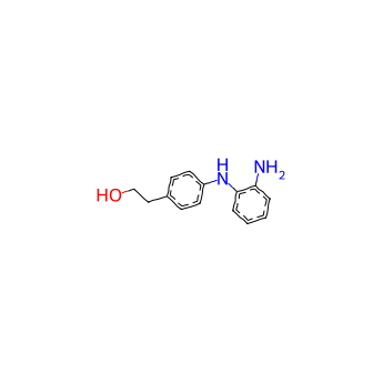 Nc1ccccc1Nc1ccc(CCO)cc1